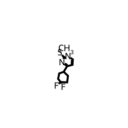 CSc1nccc(C2CCC(F)(F)CC2)n1